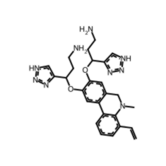 C=Cc1cccc2c1N(C)Cc1cc(OC(CCN)c3c[nH]nn3)c(OC(CCN)c3c[nH]nn3)cc1-2